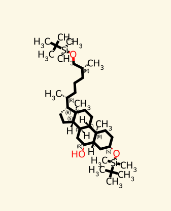 C[C@H](CCC[C@@H](C)[C@H]1CC[C@H]2[C@@H]3C[C@@H](O)[C@H]4C[C@@H](O[Si](C)(C)C(C)(C)C)CC[C@]4(C)[C@H]3CC[C@]12C)CO[Si](C)(C)C(C)(C)C